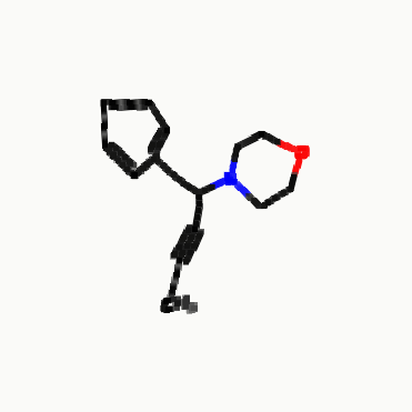 CC#CC(c1ccccc1)N1CCOCC1